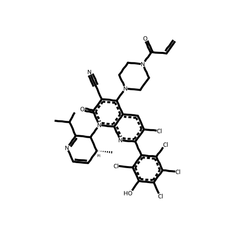 C=CC(=O)N1CCN(c2c(C#N)c(=O)n(C3C(C(C)C)=NC=C[C@H]3C)c3nc(-c4c(Cl)c(O)c(Cl)c(Cl)c4Cl)c(Cl)cc23)CC1